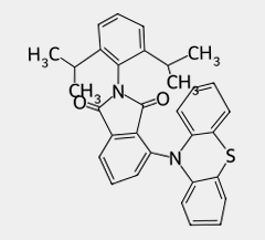 CC(C)c1cccc(C(C)C)c1N1C(=O)c2cccc(N3c4ccccc4Sc4ccccc43)c2C1=O